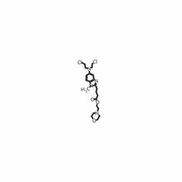 Cn1c(CCCC(=O)OCCN2CCOCC2)nc2cc(N(CCCl)CCCl)ccc21